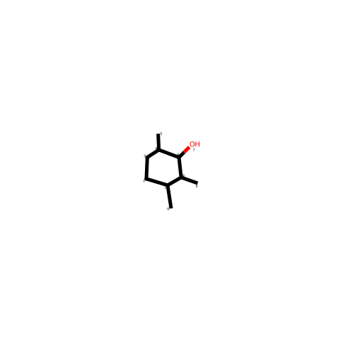 CC1CCC(C)C(O)C1C